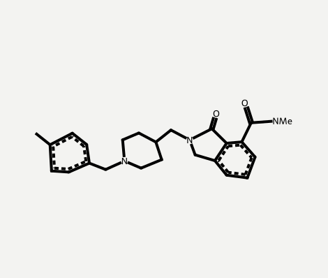 CNC(=O)c1cccc2c1C(=O)N(CC1CCN(Cc3ccc(C)cc3)CC1)C2